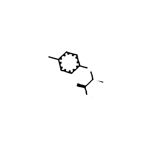 COC(=O)[C@H](C)Oc1ccc(C)cc1